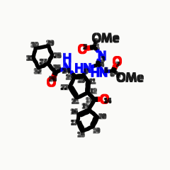 COC(=O)N=C(NC(=O)OC)Nc1cc(C(=O)c2ccccc2)ccc1NC(=O)C1CCCCC1